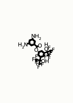 Nc1cc(N)cc(C(=O)Oc2cc(C(O)(C(F)(F)F)C(F)(F)F)cc(C(O)(C(F)(F)F)C(F)(F)F)c2)c1